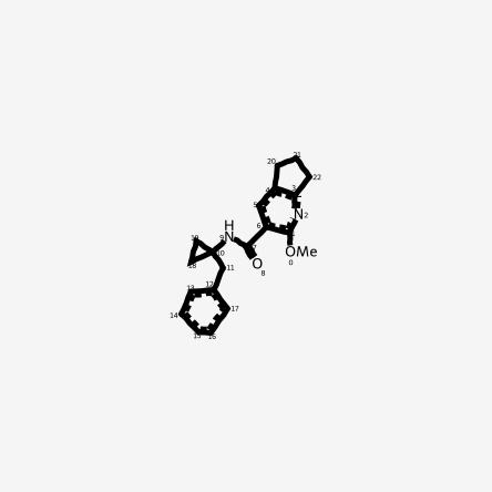 COc1nc2c(cc1C(=O)NC1(Cc3ccccc3)CC1)CCC2